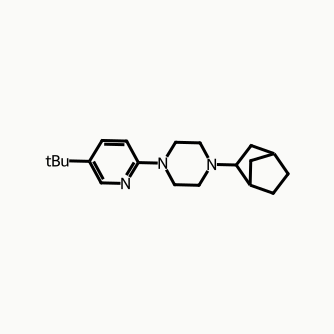 CC(C)(C)c1ccc(N2CCN(C3CC4CCC3C4)CC2)nc1